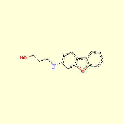 OCCCNc1ccc2c(c1)oc1ccccc12